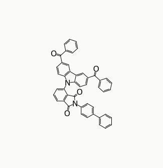 O=C(c1ccccc1)c1ccc2c(c1)c1cc(C(=O)c3ccccc3)ccc1n2-c1cccc2c1C(=O)N(c1ccc(-c3ccccc3)cc1)C2=O